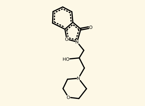 O=c1c2ccccc2on1CC(O)CN1CCOCC1